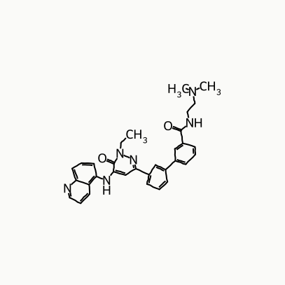 CCn1nc(-c2cccc(-c3cccc(C(=O)NCCN(C)C)c3)c2)cc(Nc2cccc3ncccc23)c1=O